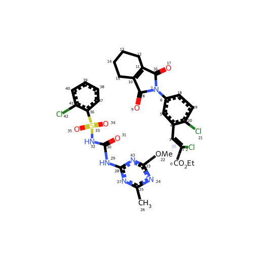 CCOC(=O)/C(Cl)=C/c1cc(N2C(=O)C3=C(CCCC3)C2=O)ccc1Cl.COc1nc(C)nc(NC(=O)NS(=O)(=O)c2ccccc2Cl)n1